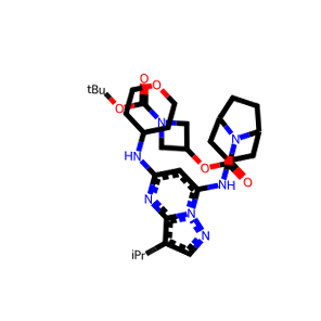 CC(C)c1cnn2c(NC3CC4CCC(C3)N4C(=O)OC3CN(C(=O)OC(C)(C)C)C3)cc(NC3CCOCC3)nc12